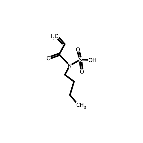 C=CC(=O)N(CCCC)S(=O)(=O)O